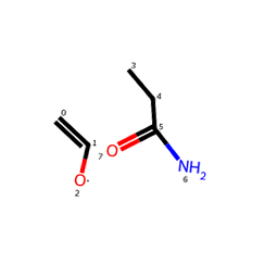 C=C[O].CCC(N)=O